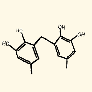 Cc1cc(O)c(O)c(Cc2cc(C)cc(O)c2O)c1